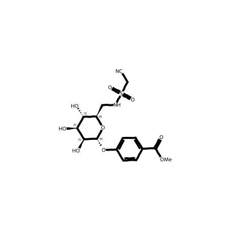 COC(=O)c1ccc(O[C@H]2O[C@H](CNS(=O)(=O)CC#N)[C@@H](O)[C@H](O)[C@@H]2O)cc1